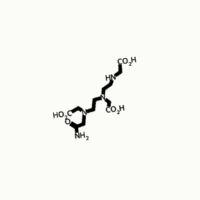 NC(=O)CN(CCN(CCNCC(=O)O)CC(=O)O)CC(=O)O